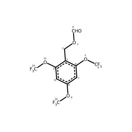 O=COCc1c(OC(F)(F)F)cc(OC(F)(F)F)cc1OC(F)(F)F